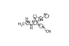 Cc1cc(Nc2cc(N3CCN(CCC#N)CC3)nc(N3CCC[C@H]3c3cc(-c4ccccn4)no3)n2)n[nH]1